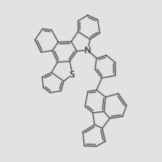 c1cc(-c2ccc3c4c(cccc24)-c2ccccc2-3)cc(-n2c3ccccc3c3c4ccccc4c4c5ccccc5sc4c32)c1